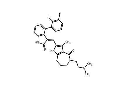 Cc1c(C=C2C(=O)Nc3cccc(-c4cccc(F)c4F)c32)[nH]c2c1C(=O)N(CCN(C)C)CCC2